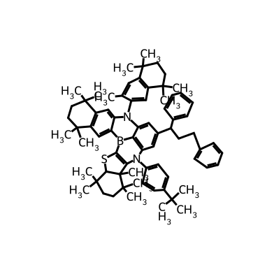 Cc1cc2c(cc1N1c3cc4c(cc3B3C5=C(N(c6ccc(C(C)(C)C)cc6)c6cc(C(CCc7ccccc7)c7ccccc7)cc1c63)C1(C)C(S5)C(C)(C)CCC1(C)C)C(C)(C)CCC4(C)C)C(C)(C)CCC2(C)C